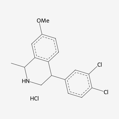 COc1ccc2c(c1)C(C)NCC2c1ccc(Cl)c(Cl)c1.Cl